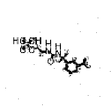 C=C(C)c1cccc(C(C)(C)NC(=O)NCCOP(=O)(O)O)c1